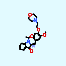 COc1cc(/C=C2/C(=O)c3ccccc3N2C(C)=O)ccc1OCCN1CCOCC1